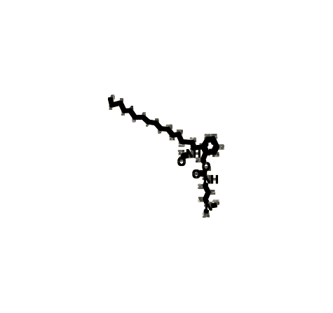 CCCCCCCCCCCCCCCC(NC=O)c1ccccc1COC(=O)NCCCN(C)C